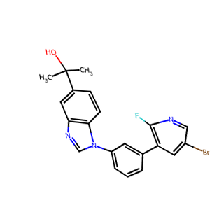 CC(C)(O)c1ccc2c(c1)ncn2-c1cccc(-c2cc(Br)cnc2F)c1